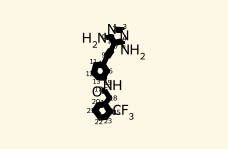 Nc1ncnc(N)c1C#Cc1cccc(NC(=O)Cc2ccccc2C(F)(F)F)c1